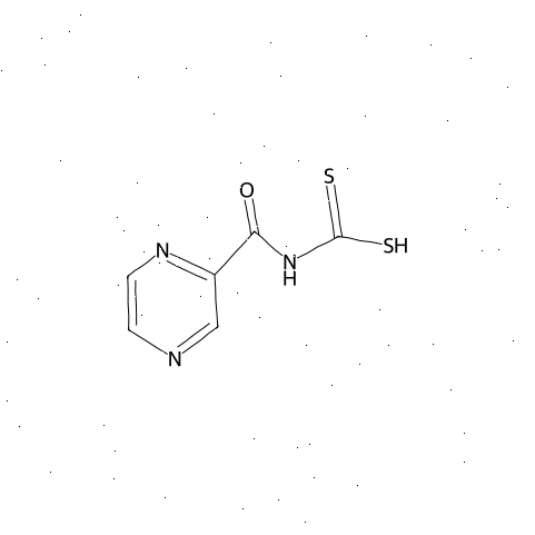 O=C(NC(=S)S)c1cnccn1